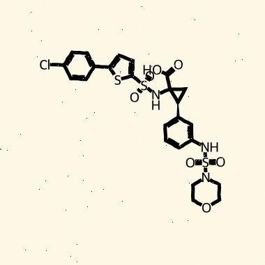 O=C(O)C1(NS(=O)(=O)c2ccc(-c3ccc(Cl)cc3)s2)C[C@H]1c1cccc(NS(=O)(=O)N2CCOCC2)c1